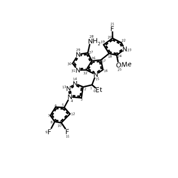 CCC(c1cn(-c2ccc(F)c(F)c2)nn1)n1cc(-c2cc(F)cnc2OC)c2c(N)ncnc21